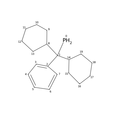 PC(c1ccccc1)(C1CCCCC1)C1CCCCC1